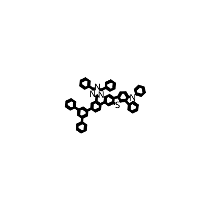 c1ccc(-c2cc(-c3ccccc3)cc(-c3ccc(-c4ccc5c(c4)sc4c5ccc5c4c4ccccc4n5-c4ccccc4)c(-c4nc(-c5ccccc5)nc(-c5ccccc5)n4)c3)c2)cc1